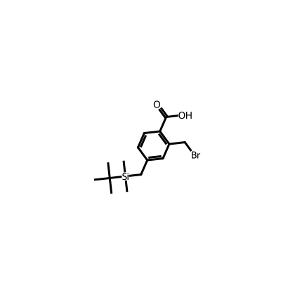 CC(C)(C)[Si](C)(C)Cc1ccc(C(=O)O)c(CBr)c1